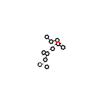 C1=CCC(N(c2ccccc2)c2ccc3c(c2)Oc2cccc4c(Oc5cccc(N(c6ccc7oc8ccccc8c7c6)c6ccc(-c7ccccc7)cc6-c6ccccc6)c5)ccc-3c24)C=C1